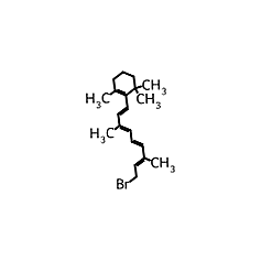 CC(C=CC1=C(C)CCCC1(C)C)=CC=CC(C)=CCBr